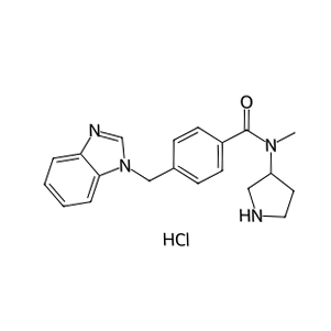 CN(C(=O)c1ccc(Cn2cnc3ccccc32)cc1)C1CCNC1.Cl